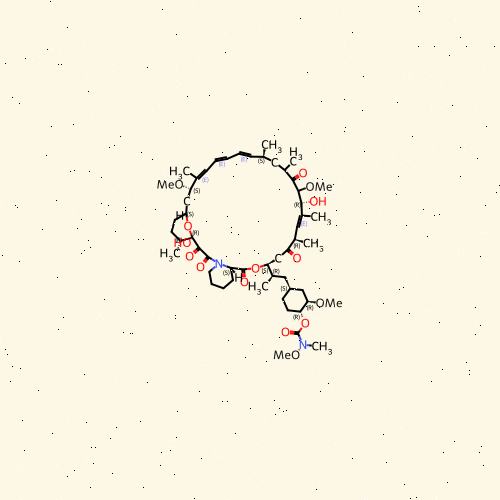 COC1C(=O)C(C)C[C@H](C)/C=C/C=C/C=C(\C)[C@@H](OC)C[C@@H]2CC[C@@H](C)[C@@](O)(O2)C(=O)C(=O)N2CCCC[C@H]2C(=O)O[C@H]([C@H](C)C[C@@H]2CC[C@@H](OC(=O)N(C)OC)[C@H](OC)C2)CC(=O)[C@H](C)/C=C(\C)[C@H]1O